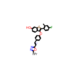 CCCc1nnc(/C=C/c2ccc(Oc3c(-c4ccc(F)cc4C)sc4cc(O)ccc34)cc2)o1